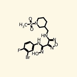 CS(=O)(=O)N1CCCC(CNc2nonc2/C(=N/O)Nc2ccc(F)c(Br)c2)C1